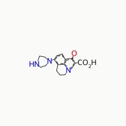 O=C(O)c1cn2c3c(c(N4CCNCC4)ccc3c1=O)CCC2